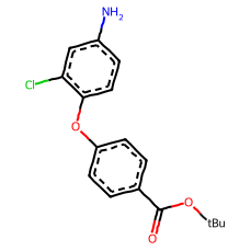 CC(C)(C)OC(=O)c1ccc(Oc2ccc(N)cc2Cl)cc1